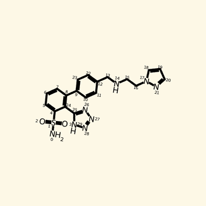 NS(=O)(=O)c1cccc(-c2ccc(CNCCn3cccn3)cc2)c1-c1nnn[nH]1